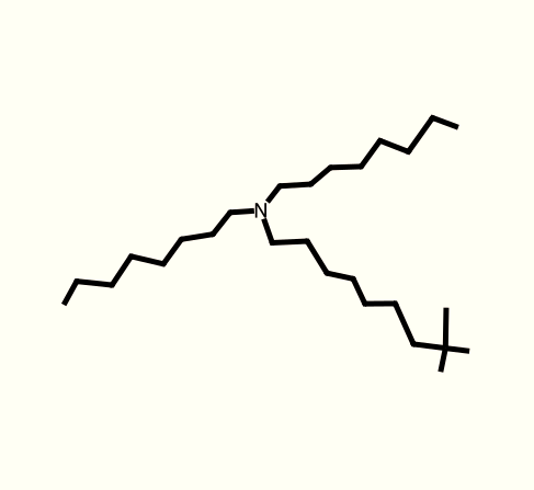 CCCCCCCCN(CCCCCCCC)CCCCCCCC(C)(C)C